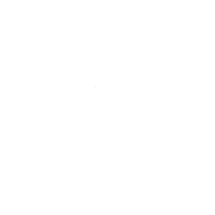 CCC(C)(CC)CC[CH]CCC(CC)(CC)CC